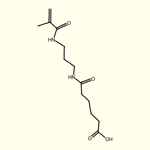 C=C(C)C(=O)NCCCNC(=O)CCCCC(=O)O